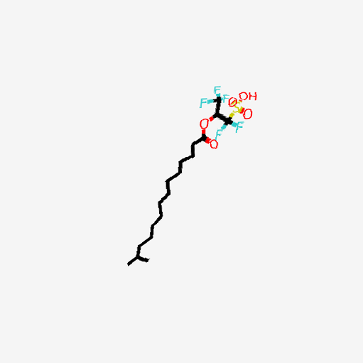 CC(C)CCCCCCCCCCCC(=O)OC(C(F)(F)F)C(F)(F)S(=O)(=O)O